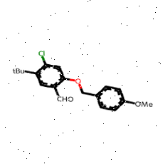 COc1ccc(COc2cc(Cl)c(C(C)(C)C)cc2C=O)cc1